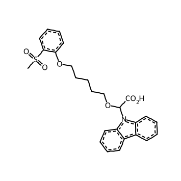 CS(=O)(=O)c1ccccc1OCCCCCOC(C(=O)O)n1c2ccccc2c2ccccc21